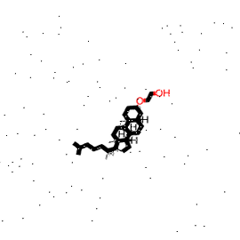 CC(C)CCC[C@@H](C)[C@H]1CC[C@H]2[C@@H]3CC[C@H]4C[C@@H](OCCO)CC[C@]4(C)[C@H]3CC[C@]12C